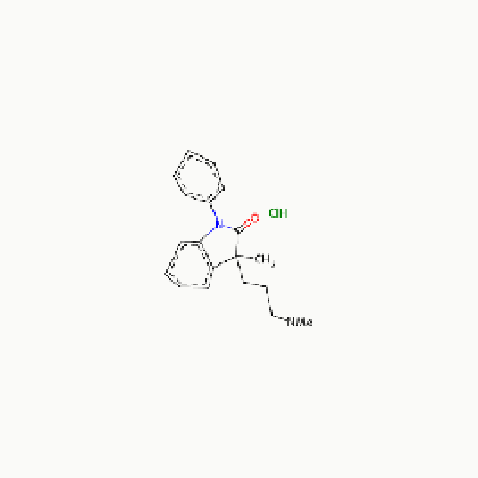 CNCCCC1(C)C(=O)N(c2ccccc2)c2ccccc21.Cl